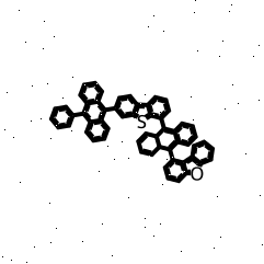 C1=CC2C(c3cccc4c3sc3cc(-c5c6ccccc6c(-c6ccccc6)c6ccccc56)ccc34)=c3ccccc3=C(c3cccc4oc5ccccc5c34)C2C=C1